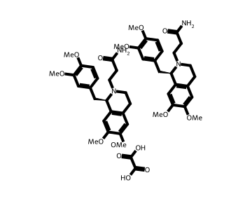 COc1ccc(C[C@@H]2c3cc(OC)c(OC)cc3CCN2CCC(N)=O)cc1OC.COc1ccc(C[C@@H]2c3cc(OC)c(OC)cc3CCN2CCC(N)=O)cc1OC.O=C(O)C(=O)O